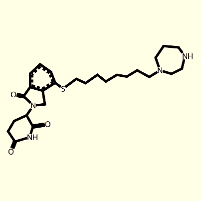 O=C1CCC(N2Cc3c(SCCCCCCCCN4CCCNCC4)cccc3C2=O)C(=O)N1